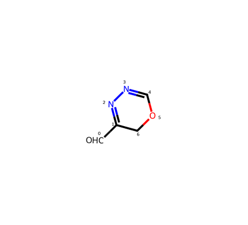 O=CC1=NN=COC1